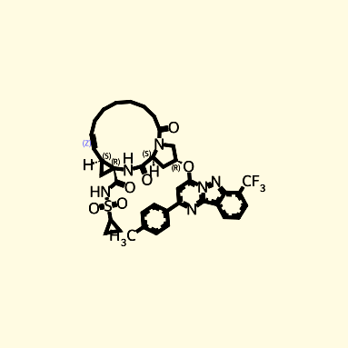 Cc1ccc(-c2cc(O[C@@H]3C[C@H]4C(=O)N[C@]5(C(=O)NS(=O)(=O)C6CC6)C[C@H]5/C=C\CCCCCCC(=O)N4C3)n3nc4c(C(F)(F)F)cccc4c3n2)cc1